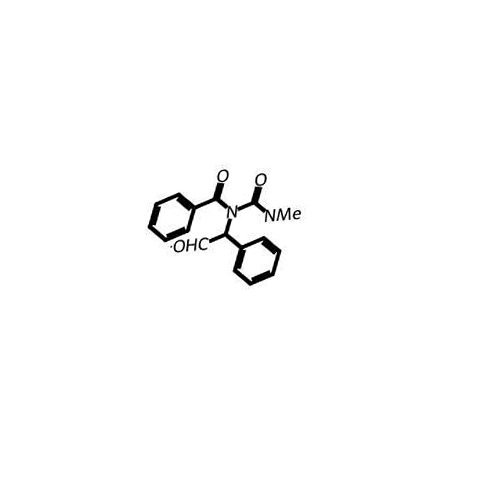 CNC(=O)N(C(=O)c1ccccc1)C([C]=O)c1ccccc1